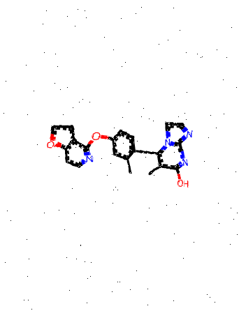 Cc1cc(Oc2nccc3occc23)ccc1-c1c(C)c(O)nc2nccn12